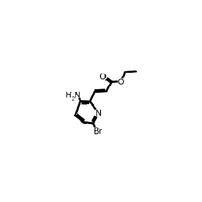 CCOC(=O)C=Cc1nc(Br)ccc1N